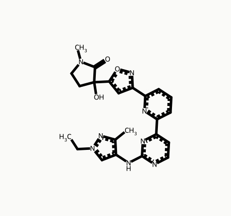 CCn1cc(Nc2nccc(-c3cccc(-c4cc(C5(O)CCN(C)C5=O)on4)n3)n2)c(C)n1